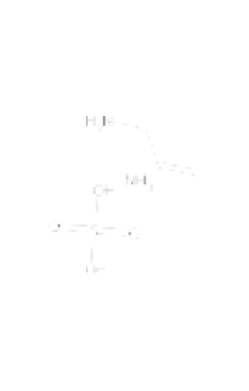 C=CCN.N.O=S(=O)(O)O